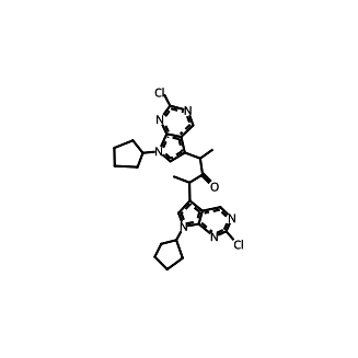 CC(C(=O)C(C)c1cn(C2CCCC2)c2nc(Cl)ncc12)c1cn(C2CCCC2)c2nc(Cl)ncc12